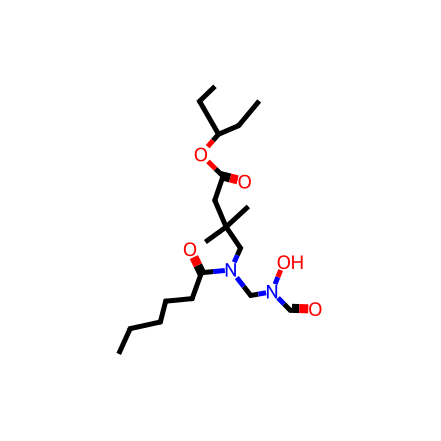 CCCCCC(=O)N(CN(O)C=O)CC(C)(C)CC(=O)OC(CC)CC